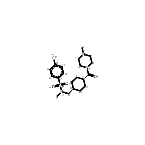 CN1CCN(C(=O)[C@H]2CC[C@H](CN(C)S(=O)(=O)c3ccc(C(F)(F)F)cc3)CC2)CC1